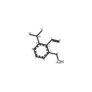 C=Cc1c([CH]O)cccc1C(C)C